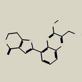 CC(C)(C)Nc1nc2c(-c3cc4c([nH]3)CCNC4=O)cccc2nc1CO